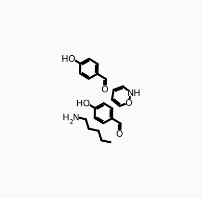 C1=CNOC=C1.CCCCCN.O=Cc1ccc(O)cc1.O=Cc1ccc(O)cc1